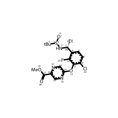 CC[C@@H](N[S+]([O-])C(C)(C)C)c1ccc(Cl)c(Oc2cnc(C(=O)OC)cn2)c1F